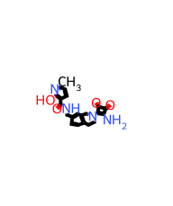 Cc1ccc(C(=O)NCc2ccc3c(c2)CN(c2c(N)c(=O)c2=O)CC3)c(O)n1